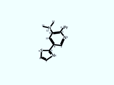 CC(C)c1ncc(-c2nccs2)cc1N(C)C